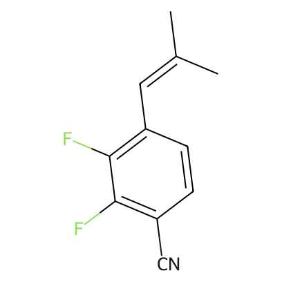 CC(C)=Cc1ccc(C#N)c(F)c1F